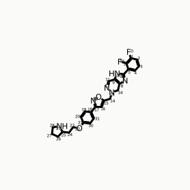 Fc1cccc(-c2nc3c([nH]2)C=NN(Cc2cc(-c4ccc(OCCC5CCCN5)cc4)no2)C3)c1F